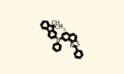 CC1(C)c2ccccc2-c2ccc(N(c3ccccc3)c3ccc4ccc5sc(-c6ccccc6)nc5c4c3)cc21